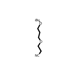 CCC(C)OCCCOCCC#N